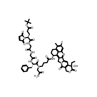 CC[C@@]1(O)C(=O)OCc2c1cc1n(c2=O)Cc2c-1nc1cc(F)c(C)c3c1c2[C@@H](NC(=O)CCCN(CC(N)=O)C(=O)[C@H](Cc1ccccc1)NC(=O)CNC(=O)CNC(=O)[C@H](CCC(=O)OC(C)(C)C)N1C(=O)C=CC1=O)CC3